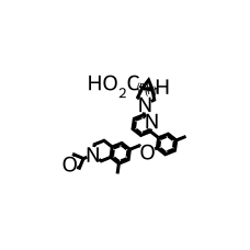 Cc1ccc(OCc2cc(C)c3c(c2)CCN(C2COC2)C3)c(-c2cccc(N3C[C@@H]4C[C@]4(C(=O)O)C3)n2)c1